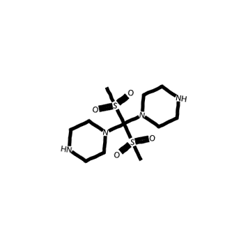 CS(=O)(=O)C(N1CCNCC1)(N1CCNCC1)S(C)(=O)=O